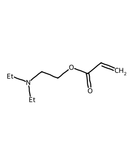 C=CC(=O)OCCN(CC)CC